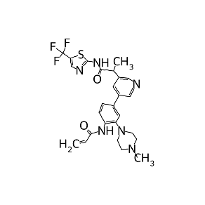 C=CC(=O)Nc1ccc(-c2cncc(C(C)C(=O)Nc3ncc(C(F)(F)F)s3)c2)cc1N1CCN(C)CC1